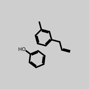 C=CCc1cccc(C)c1.Oc1ccccc1